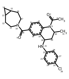 CC(=O)N1c2ccc(C(=O)N3CCC4CC4CC3)cc2C(Nc2ccc(Cl)cc2)CC1C